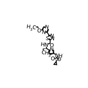 CCOc1cncc(-c2nnc(C(=O)N[C@H](CC)c3ccc(NS(=O)(=O)C4CC4)cn3)s2)n1